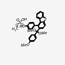 COS(=O)(=O)O.COc1ccc(C(OC)(OC)c2ccc3sc4ccccc4c3c2-c2ccc(O)cc2)cc1